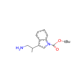 CC(CN)c1cn(C(=O)OC(C)(C)C)c2ccccc12